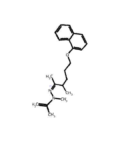 C=C(C)N(C)/N=C(/C)C(C)CCCOc1cccc2ccccc12